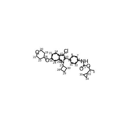 CC(OC(=O)Nc1ccc(-c2c(Cl)c3ccc(OC4CCOCC4)cc3n2C2CCC2)cc1)C1CC1